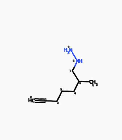 C#CCCCC(C)CNN